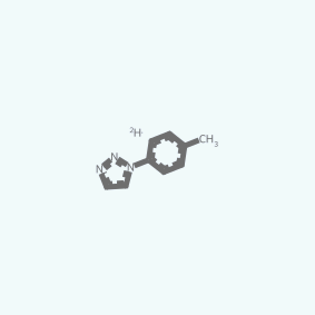 Cc1ccc(-n2ccnn2)cc1.[2H]